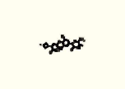 C=C1NC(=O)N(c2cc(Cl)c(Oc3cc([C@H]4C[C@@H](C)C4)c(=O)[nH]n3)c(Cl)c2)N=C1N